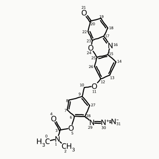 CN(C)C(=O)Oc1ccc(COc2ccc3nc4ccc(=O)cc-4oc3c2)cc1N=[N+]=[N-]